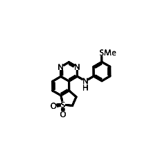 CSc1cccc(Nc2ncnc3ccc4c(c23)CCS4(=O)=O)c1